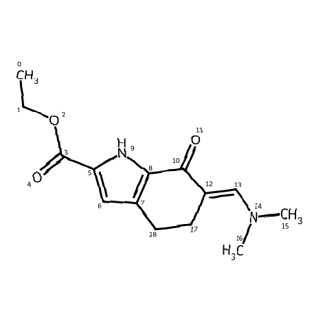 CCOC(=O)c1cc2c([nH]1)C(=O)C(=CN(C)C)CC2